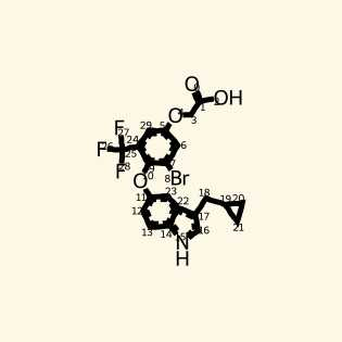 O=C(O)COc1cc(Br)c(Oc2ccc3[nH]cc(CC4CC4)c3c2)c(C(F)(F)F)c1